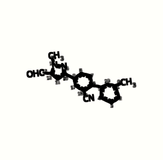 Cc1cccc(-c2ccc(-c3cc(C=O)n(C)n3)cc2C#N)c1